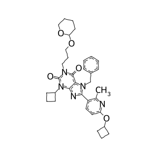 Cc1nc(OC2CCC2)ccc1-c1nc2c(c(=O)n(CCCOC3CCCCO3)c(=O)n2C2CCC2)n1Cc1ccccc1